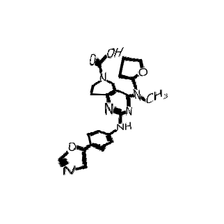 CN(c1nc(Nc2ccc(-c3cnco3)cc2)nc2c1CN(C(=O)O)CC2)C1CCCO1